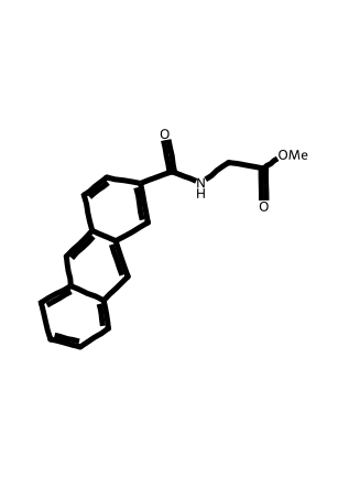 COC(=O)CNC(=O)c1ccc2cc3ccccc3cc2c1